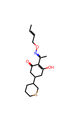 CC=CCON=C(C)C1=C(O)CC(C2CCCSC2)CC1=O